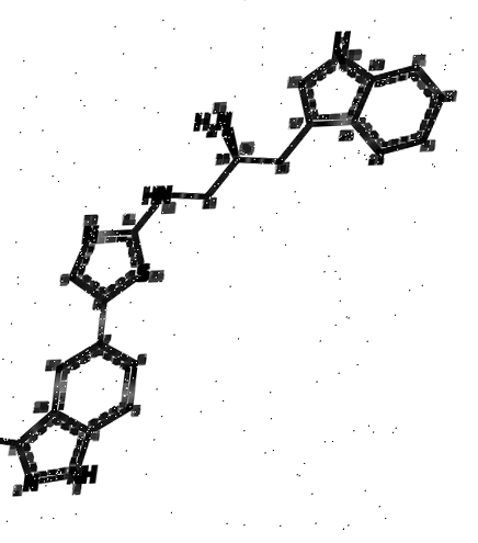 Nc1n[nH]c2ccc(-c3cnc(NC[C@@H](N)Cc4c[nH]c5ccccc45)s3)cc12